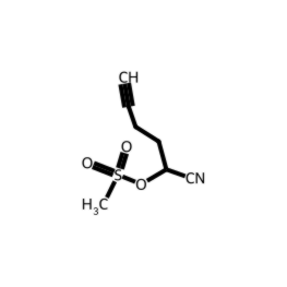 C#CCCC(C#N)OS(C)(=O)=O